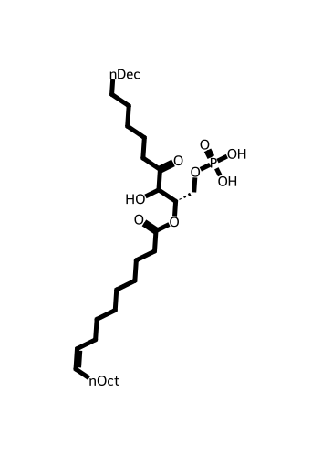 CCCCCCCC/C=C\CCCCCCCC(=O)O[C@@H](COP(=O)(O)O)C(O)C(=O)CCCCCCCCCCCCCCC